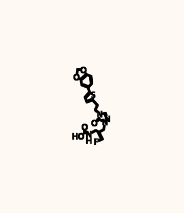 O=C(O)NC/C(=C\F)Cn1ncn(CCc2ccc(-c3ccc4c(c3)OCO4)s2)c1=O